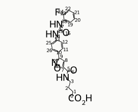 O=C(O)CCCNC(=O)c1cc(-c2ccc(NC(=O)Nc3ccccc3F)cc2)no1